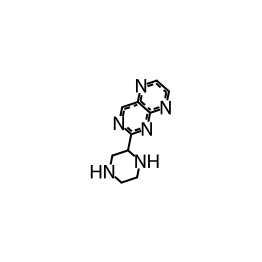 c1cnc2nc(C3CNCCN3)ncc2n1